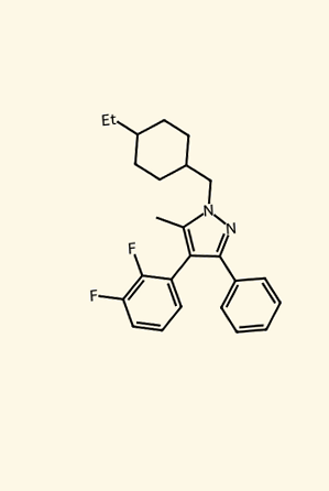 CCC1CCC(Cn2nc(-c3ccccc3)c(-c3cccc(F)c3F)c2C)CC1